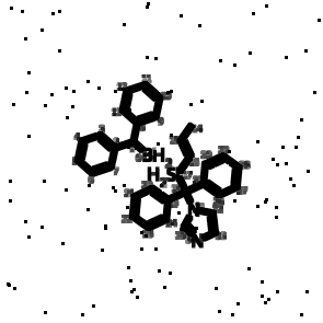 BC(c1ccccc1)c1ccccc1.CC=C[SiH2]C(c1ccccc1)(c1ccccc1)n1ccnc1